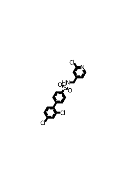 O=S(=O)(NCc1ccnc(Cl)c1)c1ccc(-c2ccc(Cl)cc2Cl)cc1